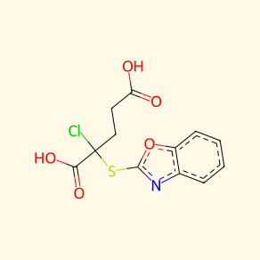 O=C(O)CCC(Cl)(Sc1nc2ccccc2o1)C(=O)O